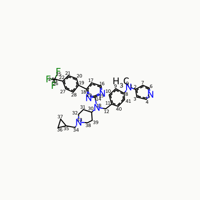 CN(c1ccncc1)c1ccc(CN(c2nccc(-c3ccc(C(F)(F)F)cc3)n2)C2CCN(CC3CC3)CC2)cc1